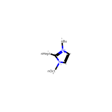 CCCCCCCCn1cc[n+](CCCC)c1CCCCCCC